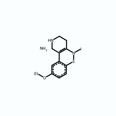 CCOc1ccc2c(c1)C1=C(CCNC1)N(I)S2.N